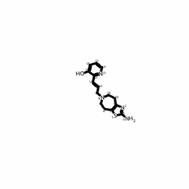 Nc1nc2c(s1)CCN(CC=Cc1ncccc1O)CC2